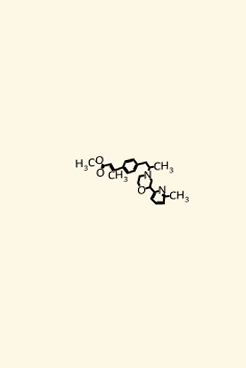 COC(=O)/C=C(\C)c1ccc(CC(C)N2CCOC(c3cccc(C)n3)C2)cc1